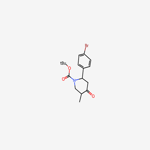 CC1CN(C(=O)OC(C)(C)C)C(c2ccc(Br)cc2)CC1=O